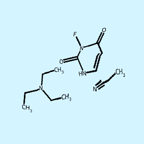 CC#N.CCN(CC)CC.O=c1cc[nH]c(=O)n1F